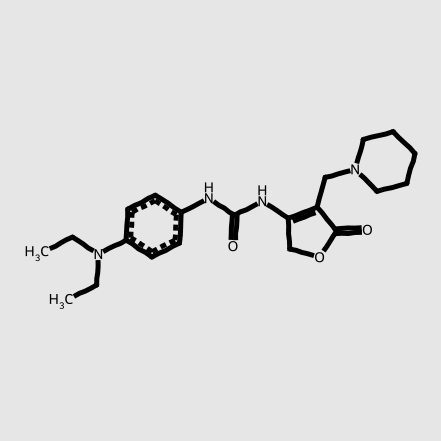 CCN(CC)c1ccc(NC(=O)NC2=C(CN3CCCCC3)C(=O)OC2)cc1